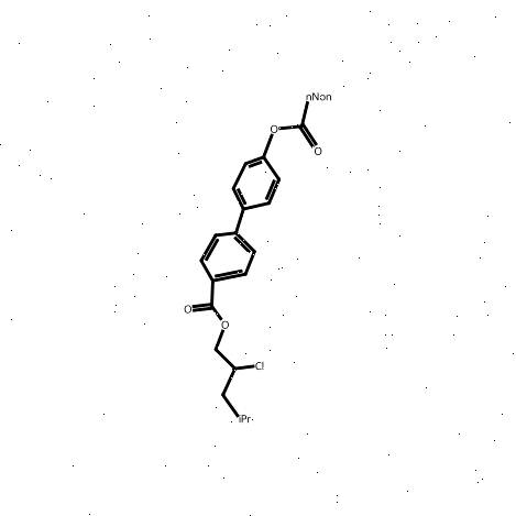 CCCCCCCCCC(=O)Oc1ccc(-c2ccc(C(=O)OCC(Cl)CC(C)C)cc2)cc1